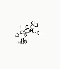 CCCCN1/C(=C/C2Oc3ccc(-c4ccccc4)cc3N2CCCS(=O)(=O)O)N(CC)c2cc(Cl)c(Cl)cc21